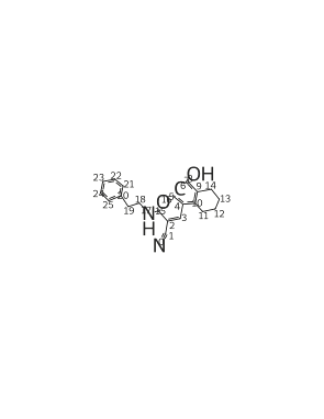 N#C/C(=C/c1ccc(O)c2c1CCCC2)C(=O)NCCc1ccccc1